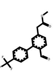 COC(=O)Cc1ccc(C=O)c(-c2ccc(C(F)(F)F)cc2)c1